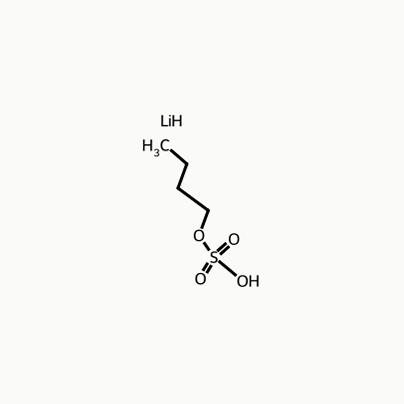 CCCCOS(=O)(=O)O.[LiH]